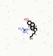 CC(C)CCC[C@@H](C)[C@H]1CC[C@H]2[C@@H]3CC=C4C[C@@H](O)CC[C@]4(C)[C@H]3CC[C@]12C.N=C(N)N